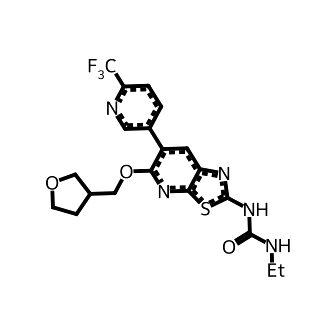 CCNC(=O)Nc1nc2cc(-c3ccc(C(F)(F)F)nc3)c(OCC3CCOC3)nc2s1